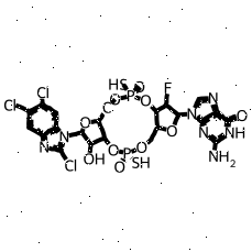 Nc1nc2c(ncn2C2OC3COP(=O)(S)OC4C(COP(=O)(S)OC3C2F)OC(n2c(Cl)nc3cc(Cl)c(Cl)cc32)C4O)c(=O)[nH]1